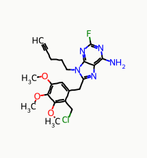 C#CCCCn1c(Cc2cc(OC)c(OC)c(OC)c2CCl)nc2c(N)nc(F)nc21